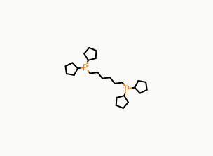 C(CCCP(C1CCCC1)C1CCCC1)CCP(C1CCCC1)C1CCCC1